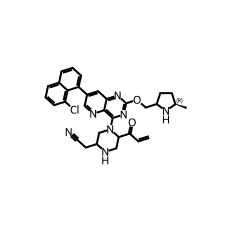 C=CC(=O)C1CNC(CC#N)CN1c1nc(OCC2CC[C@@H](C)N2)nc2cc(-c3cccc4cccc(Cl)c34)cnc12